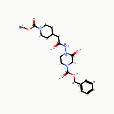 CC(C)(C)OC(=O)N1CCC(CC(=O)NN2CCN(C(=O)OCc3ccccc3)CC2=O)CC1